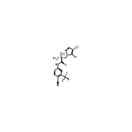 C[C@](O)(Cn1ncc(Cl)c1Br)C(=O)Nc1ccc(C#N)c(C(F)(F)F)c1